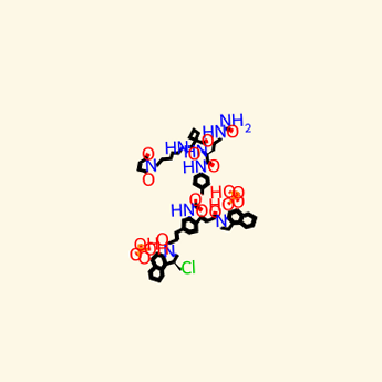 NC(=O)NCCC[C@H](NC(=O)C1(C(=O)NCCCCCN2C(=O)C=CC2=O)CCC1)C(=O)Nc1ccc(COC(=O)Nc2cc(/C=C/C(=O)N3C[C@@H](CCl)c4c3cc(OP(=O)(O)O)c3ccccc43)ccc2/C=C/C(=O)N2CCc3c2cc(OP(=O)(O)O)c2ccccc32)cc1